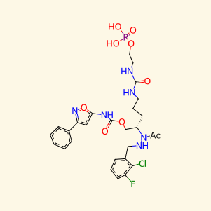 CC(=O)N(NCc1cccc(F)c1Cl)[C@@H](CCCNC(=O)NCCOP(=O)(O)O)COC(=O)Nc1cc(-c2ccccc2)no1